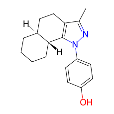 Cc1nn(-c2ccc(O)cc2)c2c1CC[C@@H]1CCCC[C@@H]21